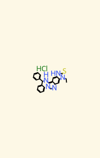 CCn1c(=S)[nH]c2cc3c(NC(c4ccccc4)c4ccccc4)ncnc3cc21.Cl